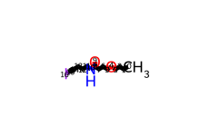 CCCCOCCCC(=O)NCCCC#CI